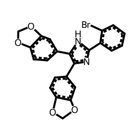 Brc1ccccc1-c1nc(-c2ccc3c(c2)OCO3)c(-c2ccc3c(c2)OCO3)[nH]1